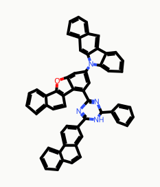 c1ccc(C2N=C(c3cc(-n4c5ccccc5c5cc6ccccc6cc54)cc4oc5c6ccccc6ccc5c34)N=C(c3ccc4c(ccc5ccccc54)c3)N2)cc1